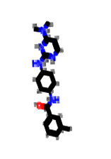 Cc1cccc(C(=O)N[C@H]2CC[C@@H](Nc3nccc(N(C)C)n3)CC2)c1